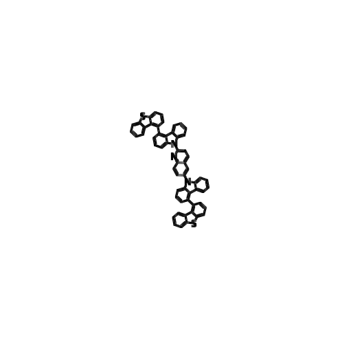 c1ccc2c(c1)sc1cccc(-c3cccc4c3c3ccccc3n4-c3ccc4nc(-n5c6ccccc6c6c(-c7cccc8sc9ccccc9c78)cccc65)ccc4c3)c12